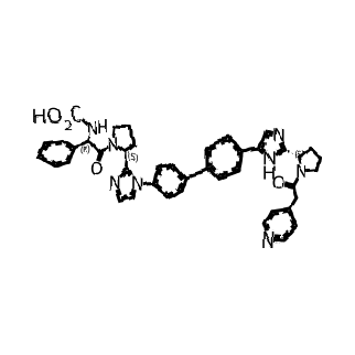 O=C(O)N[C@@H](C(=O)N1CCC[C@H]1c1nccn1-c1ccc(-c2ccc(-c3cnc([C@@H]4CCCN4C(=O)Cc4ccncc4)[nH]3)cc2)cc1)c1ccccc1